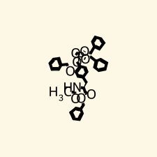 CC(=O)N[C@@H](Cc1ccc(OP(=O)(OCc2ccccc2)OCc2ccccc2)c(OCc2ccccc2)c1)C(=O)OCc1ccccc1